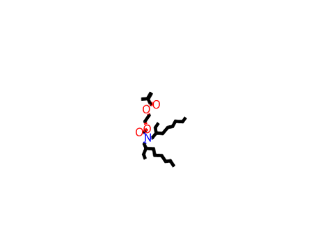 C=C(C)C(=O)OCCOC(=O)N(CC(CC)CCCCCC)CC(CC)CCCCCC